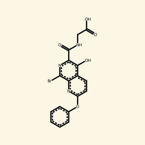 O=C(O)CNC(=O)c1nc(Br)c2nc(Oc3ccccc3)ccc2c1O